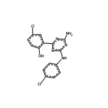 Nc1nc(Nc2ccc(Cl)cc2)nc(-c2cc(Cl)ccc2O)n1